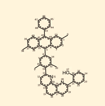 Cc1ccc2c(-c3cc(C)c(-c4ccc5ccc6ccc(-c7ccccc7O)nc6c5n4)c(C)c3)c3cc(C)ccc3c(-c3ccccc3)c2c1